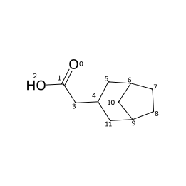 O=C(O)CC1CC2CCC(C2)C1